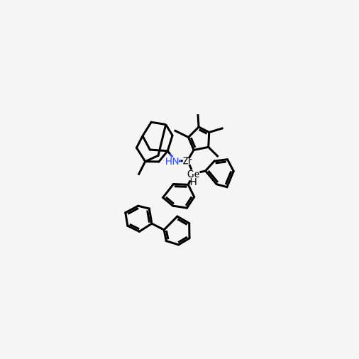 CC1=C(C)C(C)[C]([Zr]([NH]C23CC4CC(CC(C)(C4)C2)C3)[GeH]([c]2ccccc2)[c]2ccccc2)=C1C.c1ccc(-c2ccccc2)cc1